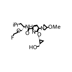 COC1CN(c2ccc(C(=O)N[C@H](COCCF)CC(C)C)nc2OC[C@@H]2C[C@@H]2CO)C1